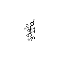 O=C[C@H](CCC(=O)O)NC(=O)N[C@H](C(=O)O)c1ccc(F)cc1